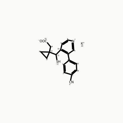 N#Cc1ccc(-c2cnccc2C(S)C2(CC(=O)[O-])CC2)cc1.[K+]